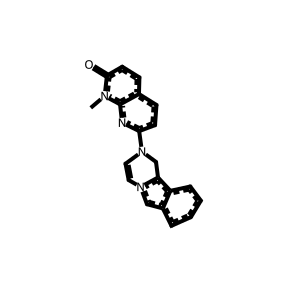 Cn1c(=O)ccc2ccc(N3C=Cn4cc5ccccc5c4C3)nc21